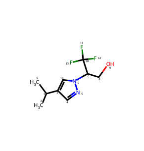 CC(C)c1cnn(C(CO)C(F)(F)F)c1